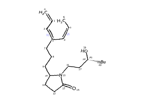 C=C/C=C(\C=C/C)CCCC1CCC(=O)N1CC[C@H](O)CCCC